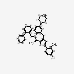 C=C1c2oc(-c3ccc(Cl)cc3C)cc2Cc2cc(N3CCNCC3)ccc2N1Cc1ccccc1-c1cncnc1